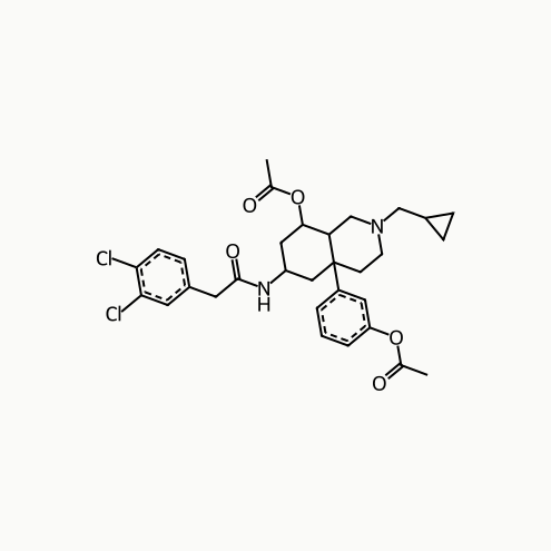 CC(=O)Oc1cccc(C23CCN(CC4CC4)CC2C(OC(C)=O)CC(NC(=O)Cc2ccc(Cl)c(Cl)c2)C3)c1